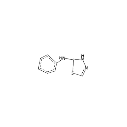 C1=NN[C](Nc2ccccc2)S1